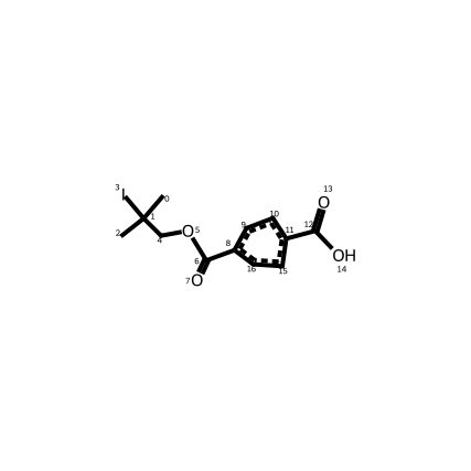 CC(C)(I)COC(=O)c1ccc(C(=O)O)cc1